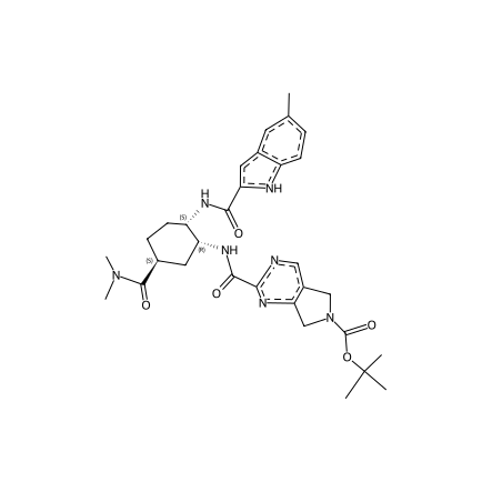 Cc1ccc2[nH]c(C(=O)N[C@H]3CC[C@H](C(=O)N(C)C)C[C@H]3NC(=O)c3ncc4c(n3)CN(C(=O)OC(C)(C)C)C4)cc2c1